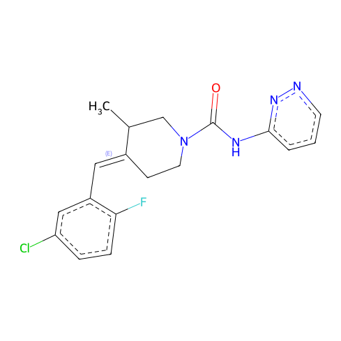 CC1CN(C(=O)Nc2cccnn2)CC/C1=C\c1cc(Cl)ccc1F